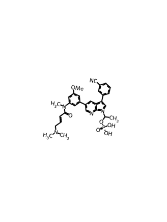 COc1cc(-c2cnc3c(c2)c(-c2cccc(C#N)c2)cn3C(C)OP(=O)(O)O)cc(N(C)C(=O)C=CCN(C)C)c1